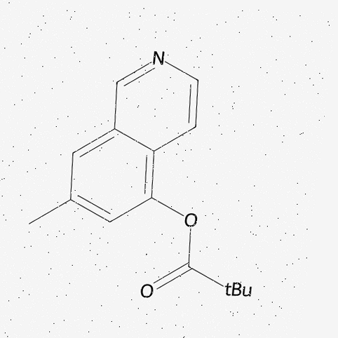 Cc1cc(OC(=O)C(C)(C)C)c2ccncc2c1